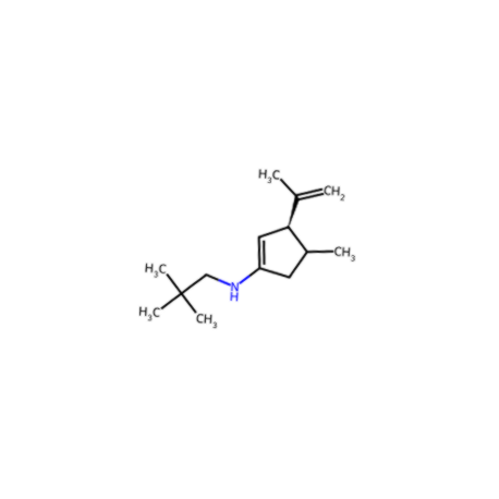 C=C(C)[C@@H]1C=C(NCC(C)(C)C)CC1C